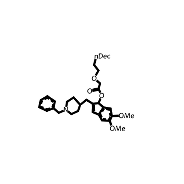 CCCCCCCCCCCCOCC(=O)OC1C(CC2CCN(Cc3ccccc3)CC2)=Cc2cc(OC)c(OC)cc21